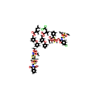 CC(C)=CC1C(C(=O)OCc2cccc(Oc3ccccc3)c2)C1(C)C.CC1(C)C(C=C(Cl)Cl)C1C(=O)OCc1cccc(Oc2ccccc2)c1.CCOC(=O)C(SP(=S)(OC)OC)c1ccccc1.CCOP(=O)(N=C1SCCS1)OCC.CCOP(=S)(OCC)SCn1c(=O)oc2cc(Cl)ccc21.COP(=S)(OC)SCN1C(=O)c2ccccc2C1=O